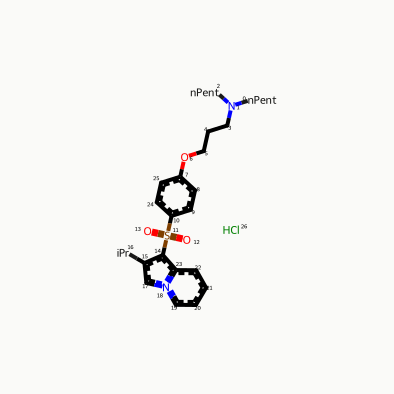 CCCCCN(CCCCC)CCCOc1ccc(S(=O)(=O)c2c(C(C)C)cn3ccccc23)cc1.Cl